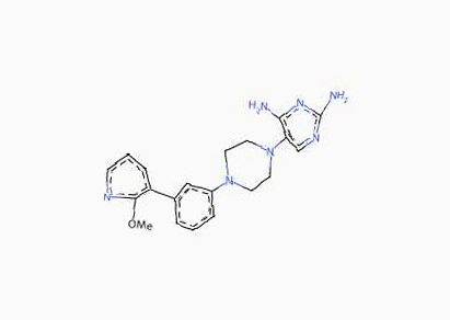 COc1ncccc1-c1cccc(N2CCN(c3cnc(N)nc3N)CC2)c1